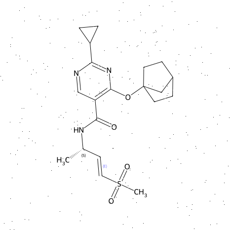 C[C@@H](/C=C/S(C)(=O)=O)NC(=O)c1cnc(C2CC2)nc1OC12CCC(CC1)C2